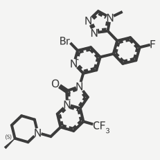 C[C@H]1CCCN(Cc2cc(C(F)(F)F)c3cn(-c4cc(-c5ccc(F)cc5-c5nncn5C)cc(Br)n4)c(=O)n3c2)C1